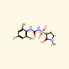 CC(C)c1cc(F)cc(C(C)C)c1NC(=O)NS(=O)(=O)C1CCN(C(C)C)C1=O